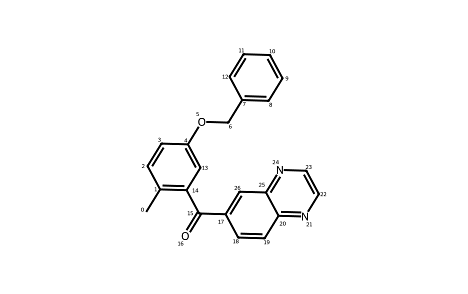 Cc1ccc(OCc2ccccc2)cc1C(=O)c1ccc2nccnc2c1